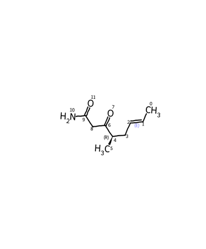 C/C=C/C[C@@H](C)C(=O)CC(N)=O